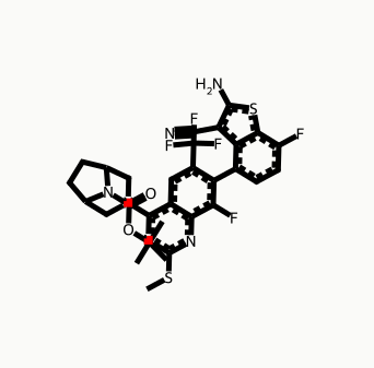 CSc1nc(N2CC3CCC(C2)N3C(=O)OC(C)(C)C)c2cc(C(F)(F)F)c(-c3ccc(F)c4sc(N)c(C#N)c34)c(F)c2n1